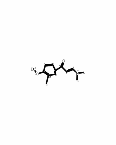 CCOc1ccc(C(=O)C=CN(C)C)cc1C